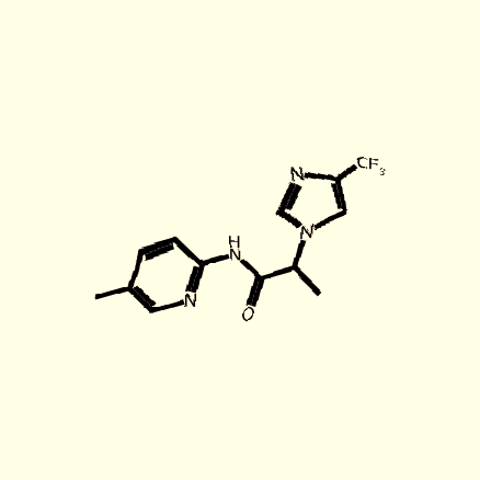 Cc1ccc(NC(=O)C(C)n2cnc(C(F)(F)F)c2)nc1